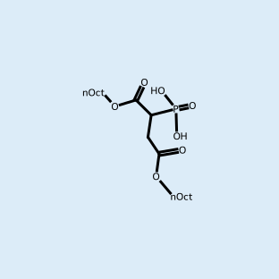 CCCCCCCCOC(=O)CC(C(=O)OCCCCCCCC)P(=O)(O)O